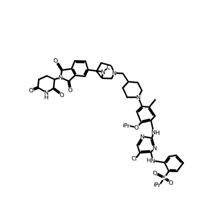 Cc1cc(Nc2ncc(Cl)c(Nc3ccccc3S(=O)(=O)C(C)C)n2)c(OC(C)C)cc1N1CCC(CN2CC3CCC2CN3c2ccc3c(c2)C(=O)N(C2CCC(=O)NC2=O)C3=O)CC1